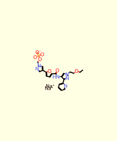 CCOCCn1cc(NC(=O)c2ccc(-c3cnn(COP(=O)([O-])[O-])c3)o2)c(-c2ccccn2)n1.[Na+].[Na+]